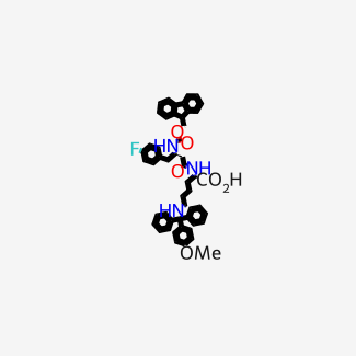 COc1ccc(C(NCCCC[C@H](NC(=O)C[C@H](Cc2ccc(F)cc2)NC(=O)OCC2c3ccccc3-c3ccccc32)C(=O)O)(c2ccccc2)c2ccccc2)cc1